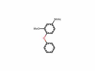 COc1cc(NC(C)=O)ccc1Oc1ccccc1